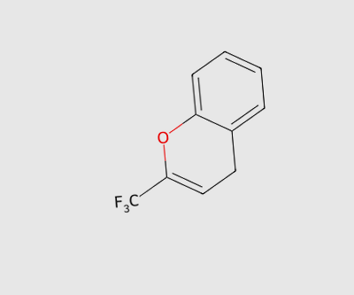 FC(F)(F)C1=CCc2ccccc2O1